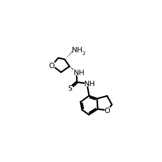 N[C@H]1COC[C@H]1NC(=S)Nc1cccc2c1CCO2